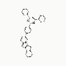 C1=CCCC(c2cc(-c3ccccc3)nc(-c3ccc(-c4ccc5nc6c7ccccc7sc6n5c4)cc3)n2)=C1